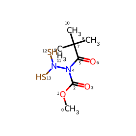 COC(=O)N(C(=O)C(C)(C)C)N(S)S